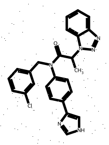 CC(C(=O)N(Cc1cccc(Cl)c1)c1ccc(-c2c[nH]cn2)cc1)n1nnc2ccccc21